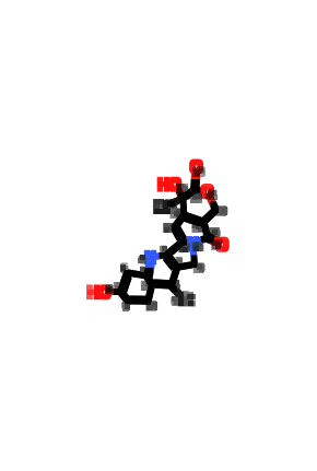 CCc1c2c(nc3cc(O)ccc13)-c1cc3c(c(=O)n1C2)COC(=O)[C@]3(O)CC